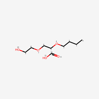 CCCCOCCOCCO.O=CO